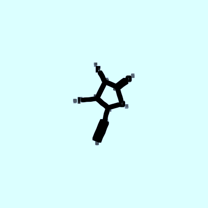 C#CC1OC(=O)C(F)C1F